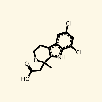 CC1(CC(=O)O)OCCc2c1[nH]c1c(Cl)cc(Cl)cc21